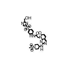 CS(=O)(=O)N1CCC(Nc2ncc3ccc(=O)n(CC(=O)Nc4ccc(S(=O)(=O)n5cnc(CO)n5)cc4)c3n2)CC1